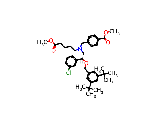 COC(=O)CCCCN(Cc1ccc(C(=O)OC)cc1)C[C@H](OCc1cc(C(C)(C)C)cc(C(C)(C)C)c1)c1cccc(Cl)c1